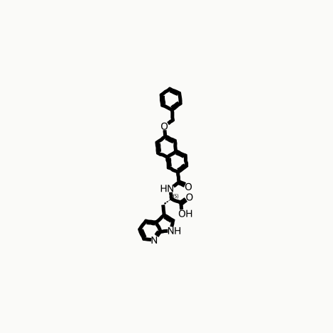 O=C(N[C@@H](Cc1c[nH]c2ncccc12)C(=O)O)c1ccc2cc(OCc3ccccc3)ccc2c1